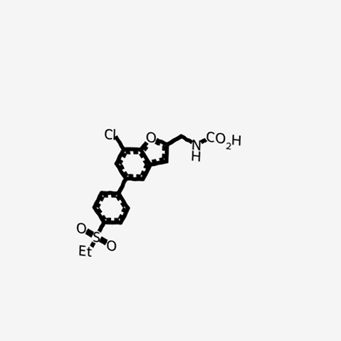 CCS(=O)(=O)c1ccc(-c2cc(Cl)c3oc(CNC(=O)O)cc3c2)cc1